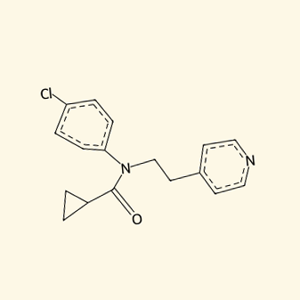 O=C(C1CC1)N(CCc1ccncc1)c1ccc(Cl)cc1